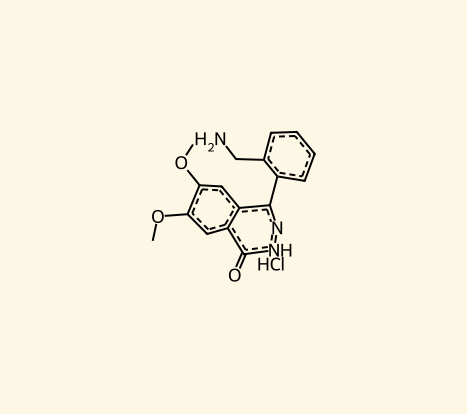 COc1cc2c(-c3ccccc3CN)n[nH]c(=O)c2cc1OC.Cl